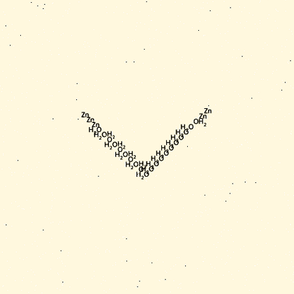 O.O.O.O.O.O.O.O.O.O.O.O.O.O.O.O.O.O.O.O.[Zn].[Zn].[Zn].[Zn].[Zn]